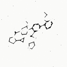 CCOc1ncccc1-c1ccc(N2CCN(C(=O)N3CCCC3C3CC3)C[C@H]2CC)c(C(=O)N[C@@H]2CCNC2)n1